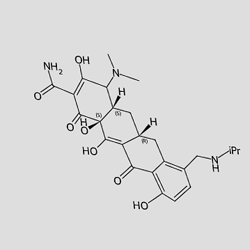 CC(C)NCc1ccc(O)c2c1C[C@H]1C[C@H]3C(N(C)C)C(O)=C(C(N)=O)C(=O)[C@@]3(O)C(O)=C1C2=O